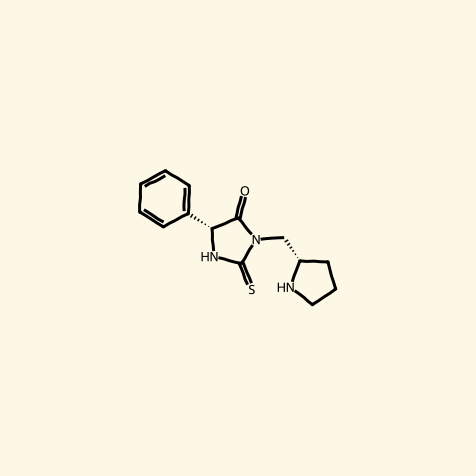 O=C1[C@@H](c2ccccc2)NC(=S)N1C[C@@H]1CCCN1